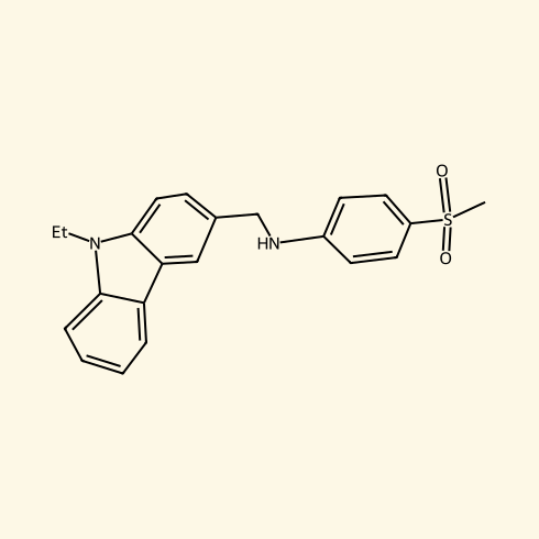 CCn1c2ccccc2c2cc(CNc3ccc(S(C)(=O)=O)cc3)ccc21